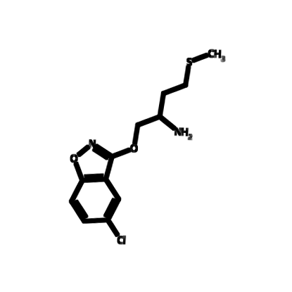 CSCCC(N)COc1noc2ccc(Cl)cc12